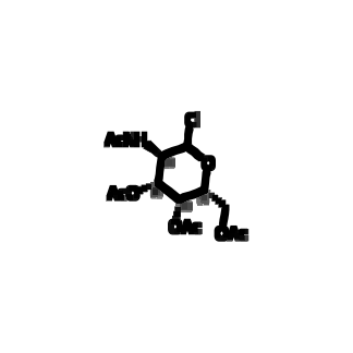 CC(=O)N[C@H]1C(Cl)O[C@H](COC(C)=O)[C@H](OC(C)=O)[C@@H]1OC(C)=O